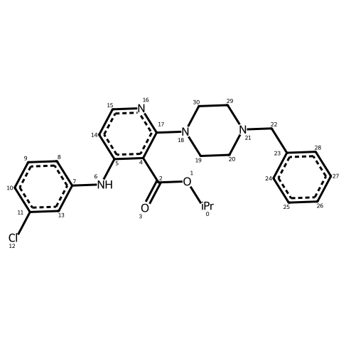 CC(C)OC(=O)c1c(Nc2cccc(Cl)c2)ccnc1N1CCN(Cc2ccccc2)CC1